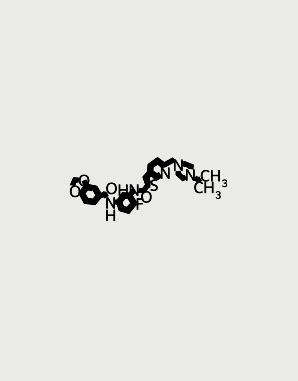 CC(C)N1CCN(Cc2ccc3cc(C(=O)Nc4cc(NC(=O)c5ccc6c(c5)OCCO6)ccc4F)sc3n2)CC1